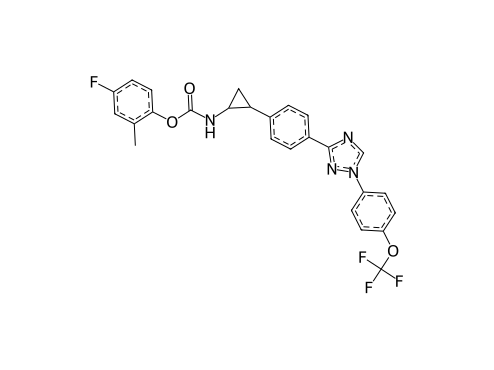 Cc1cc(F)ccc1OC(=O)NC1CC1c1ccc(-c2ncn(-c3ccc(OC(F)(F)F)cc3)n2)cc1